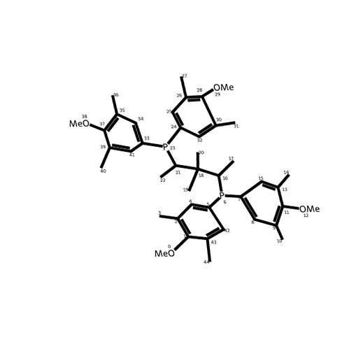 COc1c(C)cc(P(c2cc(C)c(OC)c(C)c2)C(C)C(C)(C)C(C)P(c2cc(C)c(OC)c(C)c2)c2cc(C)c(OC)c(C)c2)cc1C